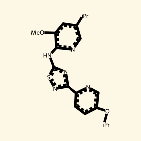 COc1cc(C(C)C)cnc1Nc1nc(-c2ccc(OC(C)C)cn2)ns1